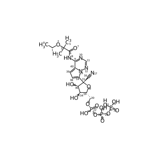 CCOC(C)(C)C(=O)Nc1ncnn2c([C@]3(C#N)O[C@H](COP(=O)(O)OP(=O)(O)OP(=O)(O)O)[C@@H](O)[C@H]3O)ccc12